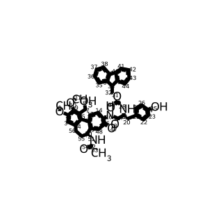 COc1cc2c(c(CO)c1OC)-c1ccc(NC(=O)[C@H](Cc3ccc(O)cc3)NC(=O)OCC3c4ccccc4-c4ccccc43)c(=O)cc1[C@@H](NC(C)=O)CC2